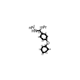 CCCN[C@@H](CCC)c1ccc(Oc2ccccc2)cc1